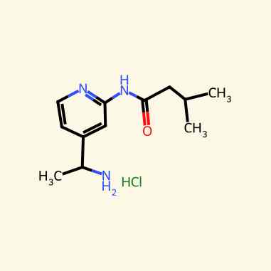 CC(C)CC(=O)Nc1cc(C(C)N)ccn1.Cl